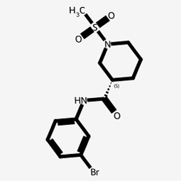 CS(=O)(=O)N1CCC[C@H](C(=O)Nc2cccc(Br)c2)C1